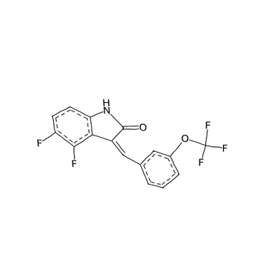 O=C1Nc2ccc(F)c(F)c2C1=Cc1cccc(OC(F)(F)F)c1